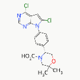 CC1(C)CN(C(=O)O)[C@H](c2ccc(-n3c(Cl)cc4c(Cl)ncnc43)cc2)CO1